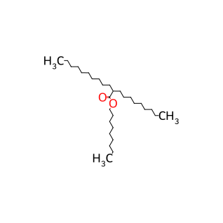 CCCCCCCCCCC(CCCCCCCCC)C(=O)OCCCCCCCCC